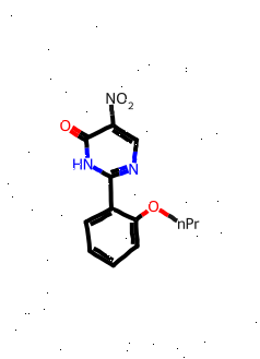 CCCOc1ccccc1-c1ncc([N+](=O)[O-])c(=O)[nH]1